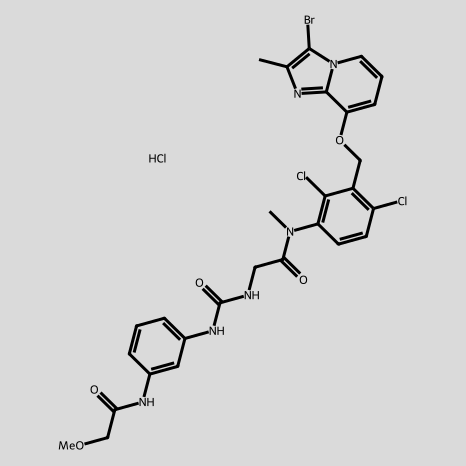 COCC(=O)Nc1cccc(NC(=O)NCC(=O)N(C)c2ccc(Cl)c(COc3cccn4c(Br)c(C)nc34)c2Cl)c1.Cl